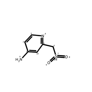 Nc1ccnc(C[SH](=O)=O)c1